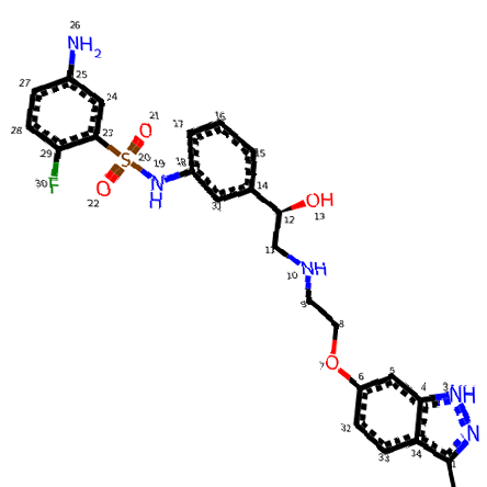 Cc1n[nH]c2cc(OCCNC[C@H](O)c3cccc(NS(=O)(=O)c4cc(N)ccc4F)c3)ccc12